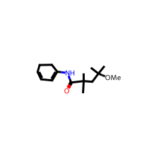 COC(C)(C)CC(C)(C)C(=O)NC1=CC=CCC1